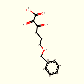 O=C(O)C(=O)C(=O)CCCOCc1ccccc1